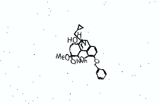 COC1(OC)CC[C@@]2(O)[C@H]3Cc4ccc(OCc5ccccc5)c5c4[C@@]2(CCN3CC2CC2)C1O5